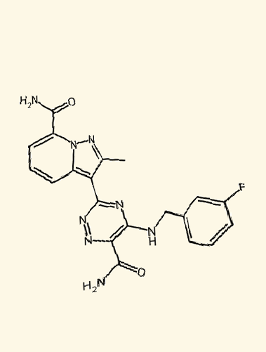 Cc1nn2c(C(N)=O)cccc2c1-c1nnc(C(N)=O)c(NCc2cccc(F)c2)n1